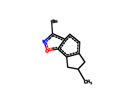 CC1Cc2ccc3c(C(C)(C)C)noc3c2C1